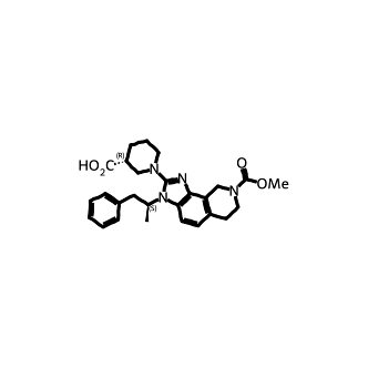 COC(=O)N1CCc2ccc3c(nc(N4CCC[C@@H](C(=O)O)C4)n3[C@@H](C)Cc3ccccc3)c2C1